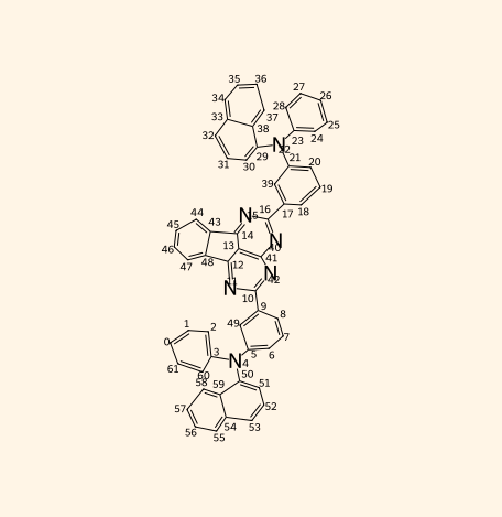 c1ccc(N(c2cccc(-c3nc4c5c(nc(-c6cccc(N(c7ccccc7)c7cccc8ccccc78)c6)nc5n3)-c3ccccc3-4)c2)c2cccc3ccccc23)cc1